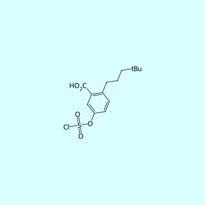 CC(C)(C)CCCc1ccc(OS(=O)(=O)Cl)cc1C(=O)O